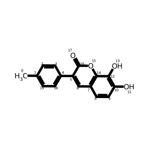 Cc1ccc(-c2cc3ccc(O)c(O)c3oc2=O)cc1